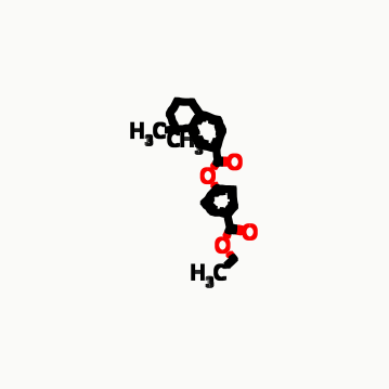 CCOC(=O)c1ccc(OC(=O)c2ccc3c(c2)C(C)(C)CCC3)cc1